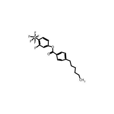 CCCCCCc1ccc(C(=O)Oc2ccc(S(F)(F)(F)(F)F)c(F)c2)cc1